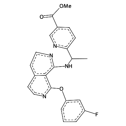 COC(=O)c1ccc(C(C)Nc2nccc3ccnc(Oc4cccc(F)c4)c23)nc1